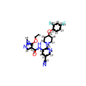 CCOc1c(C(=O)Nc2cc(C#N)cnc2N2CCC(Oc3ccc(F)cc3F)CC2)cnn1C